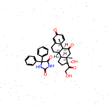 C[C@]12C=CC(=O)C=C1CC[C@@H]1[C@@H]2C(=O)C[C@@]2(C)[C@H]1CC[C@]2(O)C(=O)CO.O=C1NC(=O)C(c2ccccc2)(c2ccccc2)N1